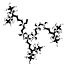 CC[Si](C)(CCCC(S(=O)(=O)C(F)(F)F)S(=O)(=O)C(F)(F)F)CC[Si](C)(C)O[Si](C)(CCCC(S(=O)(=O)C(F)(F)F)S(=O)(=O)C(F)(F)F)O[Si](C)(C)CC[Si](C)(C)C[SiH](C)CCCC(S(=O)(=O)C(F)(F)F)S(=O)(=O)C(F)(F)F